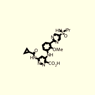 COc1c(Nc2cc(NC(=O)C3CC3)nnc2C(=O)O)cccc1-c1ncc(S(=N)(=O)C(C)C)cn1